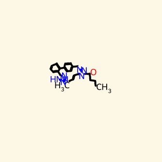 CCC=Cc1nc(C(=O)CCCC)nn1Cc1ccc(-c2ccccc2-c2nnn[nH]2)cc1